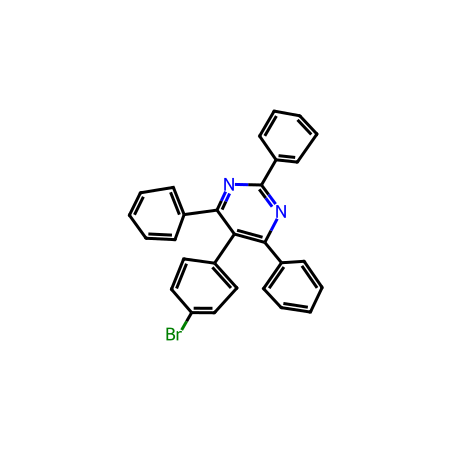 Brc1ccc(-c2c(-c3ccccc3)nc(-c3ccccc3)nc2-c2ccccc2)cc1